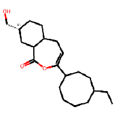 CCC1CCCCC(C2=CCC3CC[C@@H](CO)CC3C(=O)O2)CC1